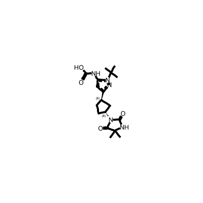 CC1(C)NC(=O)N([C@@H]2CC[C@@H](c3cc(NC(=O)O)n(C(C)(C)C)n3)C2)C1=O